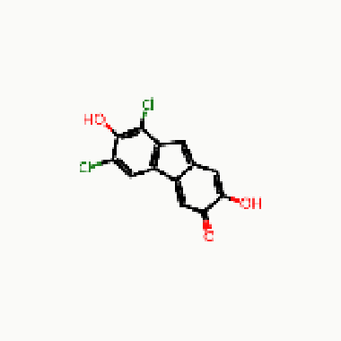 O=C1C=C2C(=Cc3c2cc(Cl)c(O)c3Cl)C=C1O